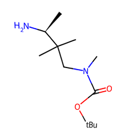 C[C@H](N)C(C)(C)CN(C)C(=O)OC(C)(C)C